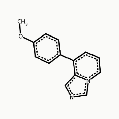 COc1ccc(-c2cccn3cncc23)cc1